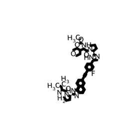 COC(=O)N[C@H](C(=O)N1CCC[C@H]1c1ncc(-c2ccc(C#Cc3ccc4c(ccc5nc([C@@H]6CCCN6C(=O)[C@@H](N)C(C)C)[nH]c54)c3)c(F)c2)[nH]1)C1CCOCC1